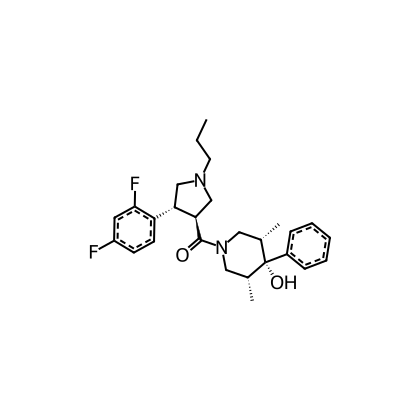 CCCN1C[C@@H](C(=O)N2C[C@@H](C)[C@](O)(c3ccccc3)[C@@H](C)C2)[C@H](c2ccc(F)cc2F)C1